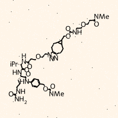 CNC(=O)CCOCCNC(=O)OCC1C2CCc3nnn(CCOCCC(=O)N[C@H](C(=O)N[C@@H](CCCNC(N)=O)C(=O)Nc4ccc(COC(=O)NC)cc4)C(C)C)c3CCC21